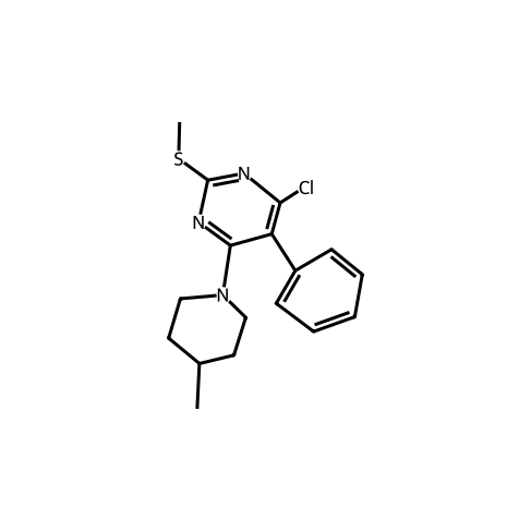 CSc1nc(Cl)c(-c2ccccc2)c(N2CCC(C)CC2)n1